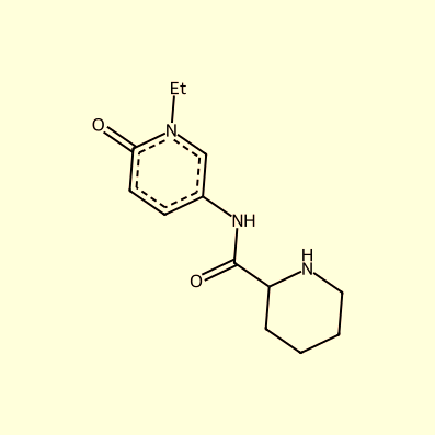 CCn1cc(NC(=O)C2CCCCN2)ccc1=O